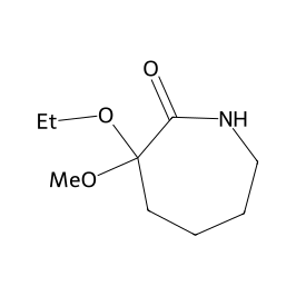 CCOC1(OC)CCCCNC1=O